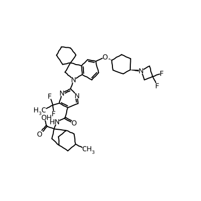 CC1CC2CC(C1)C(NC(=O)c1cnc(N3CC4(CCCCC4)c4cc(O[C@H]5CC[C@H](N6CC(F)(F)C6)CC5)ccc43)nc1C(C)(F)F)(C(=O)O)C2